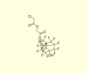 O=C(CCl)OCC(=O)OC(F)(F)C12C(F)(F)C3(O)C(F)(F)C(F)(C(F)(F)C(F)(C3(F)F)C1(F)F)C2(F)F